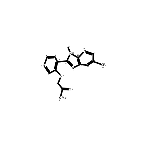 COC(=O)CSc1cnccc1-c1nc2cc(C(F)(F)F)cnc2n1C